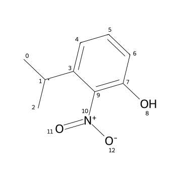 C[C](C)c1cccc(O)c1[N+](=O)[O-]